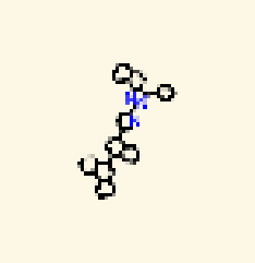 c1ccc(-c2nc(-c3ccc(-c4ccc(-c5cc6ccccc6c6ccccc56)c5ccccc45)cn3)nc3c2ccc2ccccc23)cc1